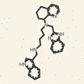 c1cnc2c(c1)CCCC2N(CCCCNCc1c[nH]c2ccccc12)Cc1nc2ccccc2[nH]1